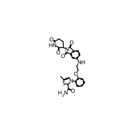 CC1=CN(c2ccccc2OCCNc2ccc3c(c2)C(=O)N(C2CCC(=O)NC2=O)C3=O)C(C(N)=O)S1